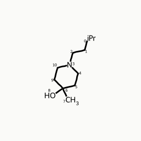 CC(C)CCN1CCC(C)(O)CC1